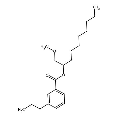 CCCCCCCCC(COC)OC(=O)c1cccc(CCC)c1